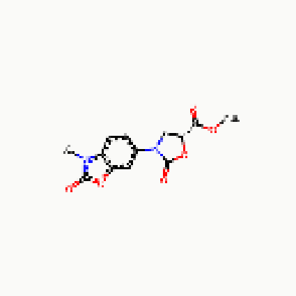 CCCCOC(=O)[C@H]1CN(c2ccc3c(c2)oc(=O)n3C)C(=O)O1